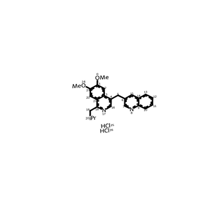 COc1cc2c(Cc3cnc4ccccc4c3)cnc(CC(C)C)c2cc1OC.Cl.Cl